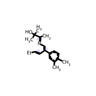 CC/C=C/C(=C\N=C(/C)C(C)(C)O)c1ccc(C)c(C)c1